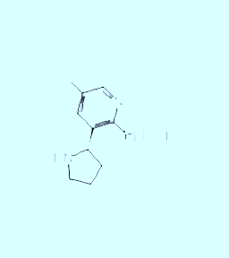 Cl.Cl.Fc1cnc(Cl)c([C@H]2CCCN2)c1